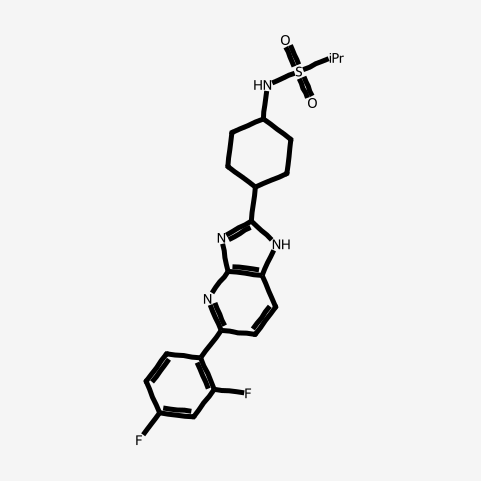 CC(C)S(=O)(=O)NC1CCC(c2nc3nc(-c4ccc(F)cc4F)ccc3[nH]2)CC1